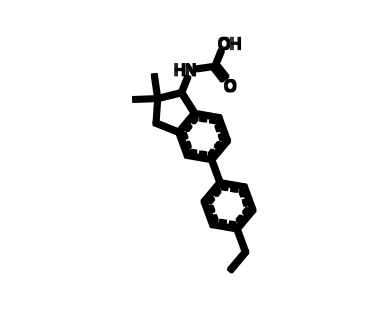 CCc1ccc(-c2ccc3c(c2)CC(C)(C)C3NC(=O)O)cc1